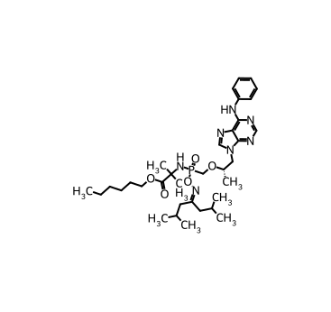 CCCCCCOC(=O)C(C)(C)NP(=O)(CO[C@@H](C)Cn1cnc2c(Nc3ccccc3)ncnc21)ON=C(CC(C)C)CC(C)C